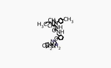 C=C(/N=C(\C=C/N)Oc1ccccc1CNC(=O)Nc1cc(C(C)(C)CC)nn1-c1ccc(C)cc1)N1CCOCC1